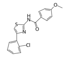 COc1ccc(C(=O)Nc2nc(-c3ccccc3Cl)cs2)cc1